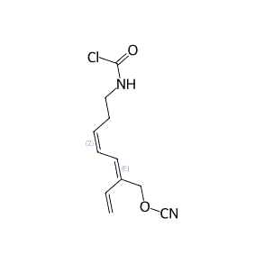 C=C/C(=C\C=C/CCNC(=O)Cl)COC#N